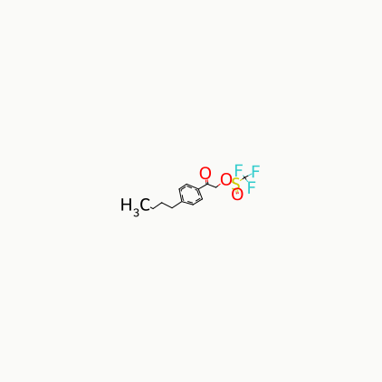 CCCCc1ccc(C(=O)COS(=O)C(F)(F)F)cc1